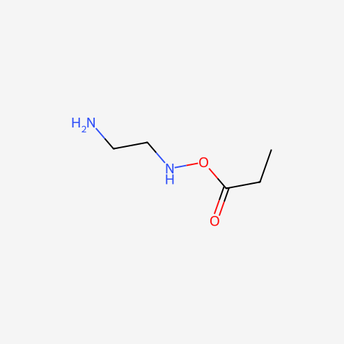 CCC(=O)ONCCN